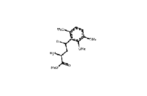 CCC(CC(N)C(=O)OC)c1c(OC)ccc(OC)c1OC